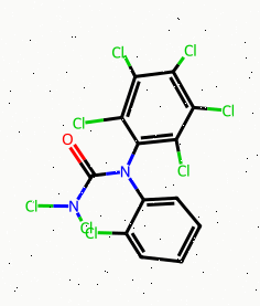 O=C(N(Cl)Cl)N(c1ccccc1Cl)c1c(Cl)c(Cl)c(Cl)c(Cl)c1Cl